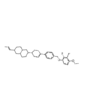 C/C=C/C1CCC2CC(C3CCC(c4ccc(COc5ccc(OCC)c(F)c5F)cc4)CC3)CCC2C1